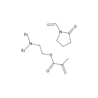 C=C(C)C(=O)OCCN(CC)CC.C=CN1CCCC1=O